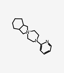 c1ccc(N2CC[N+]3(CC2)CC2CCCCC2C3)nc1